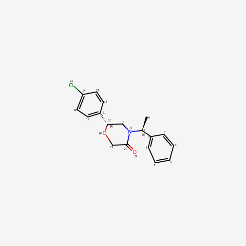 C[C@@H](c1ccccc1)N1C[C@@H](c2ccc(Cl)cc2)OCC1=O